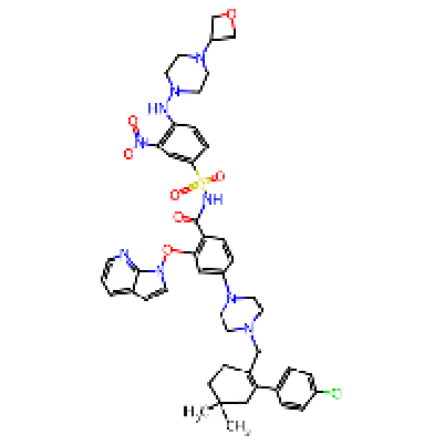 CC1(C)CCC(CN2CCN(c3ccc(C(=O)NS(=O)(=O)c4ccc(NN5CCN(C6COC6)CC5)c([N+](=O)[O-])c4)c(On4ccc5cccnc54)c3)CC2)=C(c2ccc(Cl)cc2)C1